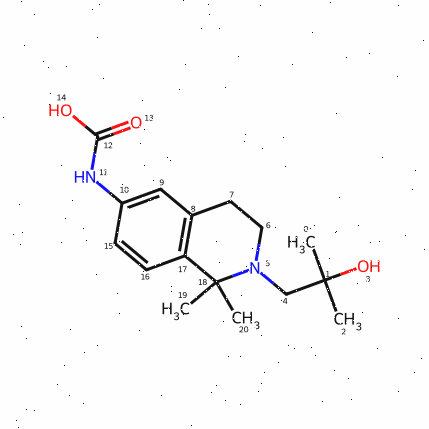 CC(C)(O)CN1CCc2cc(NC(=O)O)ccc2C1(C)C